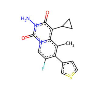 Cc1c(-c2ccsc2)c(F)cn2c(=O)n(N)c(=O)c(C3CC3)c12